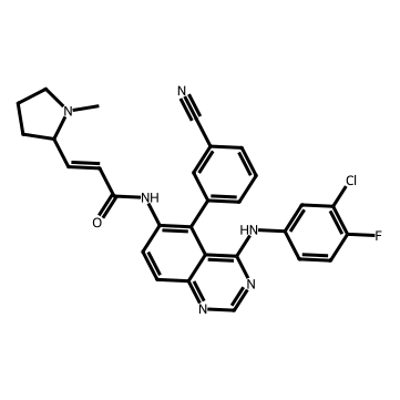 CN1CCCC1C=CC(=O)Nc1ccc2ncnc(Nc3ccc(F)c(Cl)c3)c2c1-c1cccc(C#N)c1